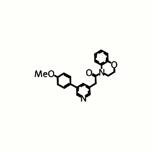 COC1C=CC(c2cncc(CC(=O)N3CCOc4ccccc43)c2)=CC1